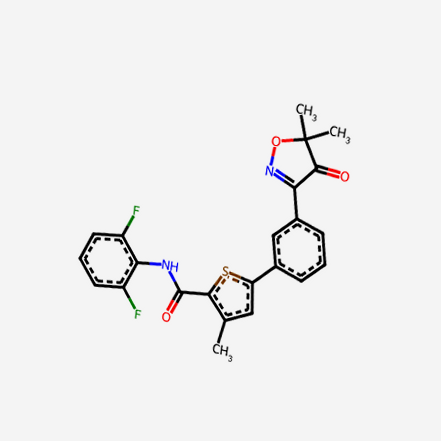 Cc1cc(-c2cccc(C3=NOC(C)(C)C3=O)c2)sc1C(=O)Nc1c(F)cccc1F